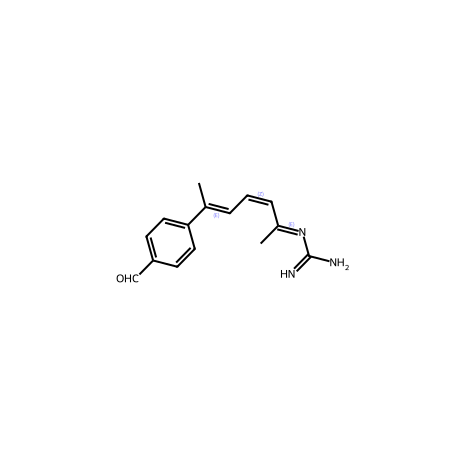 C\C(=C/C=C\C(C)=N\C(=N)N)c1ccc(C=O)cc1